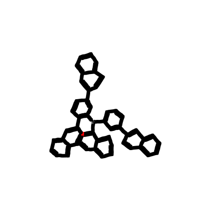 c1cc(-c2ccc3ccccc3c2)cc(N(c2cc(-c3ccc4ccccc4c3)ccc2-c2ccc3ccccc3c2)c2cccc3ccccc23)c1